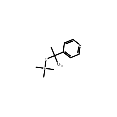 CC(O[Si](C)(C)C)(c1ccncc1)C(F)(F)F